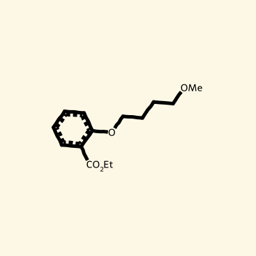 CCOC(=O)c1ccccc1OCCCCOC